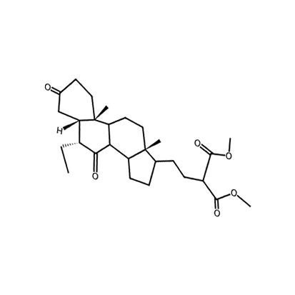 CC[C@H]1C(=O)C2C3CCC(CCC(C(=O)OC)C(=O)OC)[C@@]3(C)CCC2[C@@]2(C)CCC(=O)C[C@@H]12